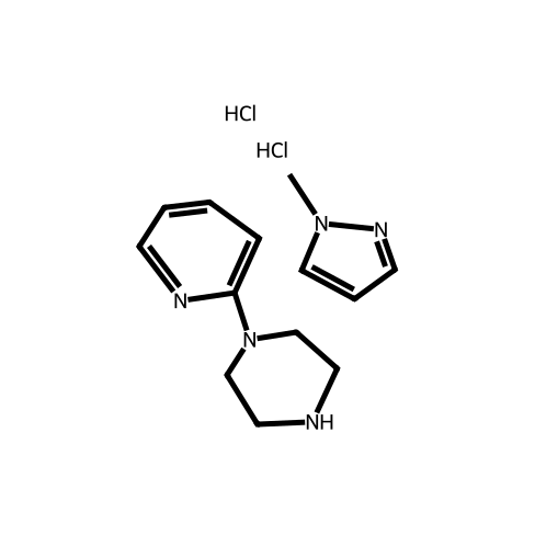 Cl.Cl.Cn1cccn1.c1ccc(N2CCNCC2)nc1